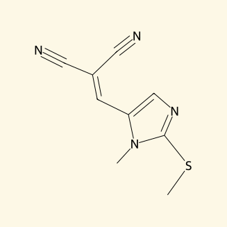 CSc1ncc(C=C(C#N)C#N)n1C